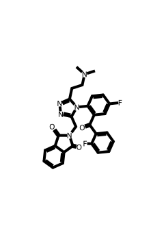 CN(C)CCc1nnc(CN2C(=O)c3ccccc3C2=O)n1-c1ccc(F)cc1C(=O)c1ccccc1F